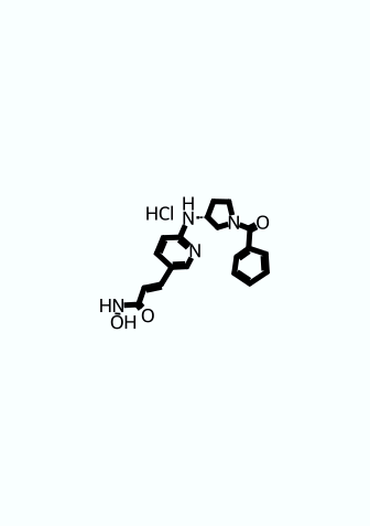 Cl.O=C(C=Cc1ccc(N[C@@H]2CCN(C(=O)c3ccccc3)C2)nc1)NO